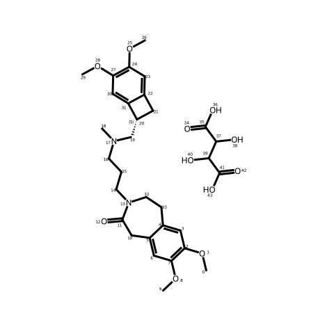 COc1cc2c(cc1OC)CC(=O)N(CCCN(C)C[C@H]1Cc3cc(OC)c(OC)cc31)CC2.O=C(O)C(O)C(O)C(=O)O